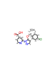 CC[C@@H](Oc1ccnn1-c1cc(C(=O)O)ccn1)c1ccc(Cl)cc1